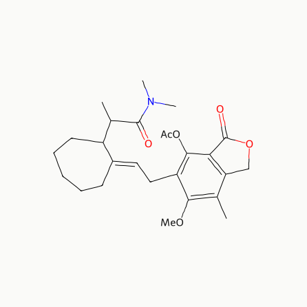 COc1c(C)c2c(c(OC(C)=O)c1CC=C1CCCCCC1C(C)C(=O)N(C)C)C(=O)OC2